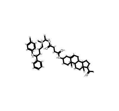 CC(=O)C1CCC2C3CC=C4CC(OC(=O)CCC(=O)OC(C)N(C)CCCC(Oc5ccc(C)cc5)c5ccccc5)CCC4(C)C3CCC12C